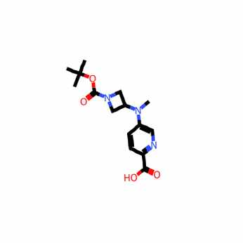 CN(c1ccc(C(=O)O)nc1)C1CN(C(=O)OC(C)(C)C)C1